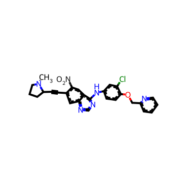 CN1CCCC1C#Cc1cc2ncnc(Nc3ccc(OCc4ccccn4)c(Cl)c3)c2cc1[N+](=O)[O-]